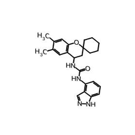 Cc1cc2c(cc1C)C(NC(=O)Nc1cccc3[nH]ncc13)CC1(CCCCC1)O2